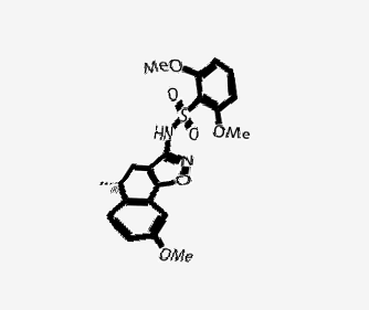 COc1ccc2c(c1)-c1onc(NS(=O)(=O)c3c(OC)cccc3OC)c1C[C@H]2C